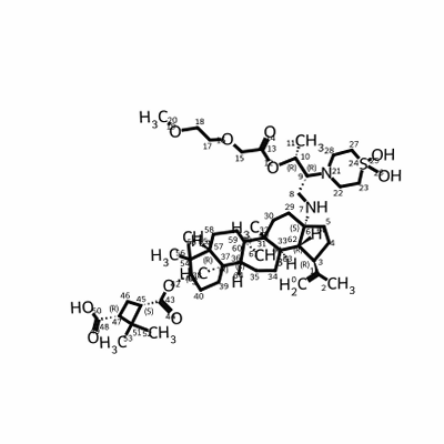 C=C(C)[C@@H]1CC[C@]2(NC[C@H]([C@@H](C)OC(=O)COCCOC)N3CCS(O)(O)CC3)CC[C@]3(C)[C@H](CC[C@@H]4[C@@]5(C)CC[C@H](OC(=O)[C@H]6C[C@@H](C(=O)O)C6(C)C)C(C)(C)[C@@H]5CC[C@]43C)[C@@H]12